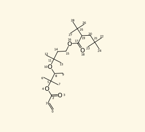 C=CC(=O)OC(C)(C)C(C)OC(C)(C)CCOC(=O)C(CC(C)(C)C)C(C)(C)C